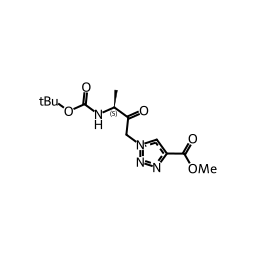 COC(=O)c1cn(CC(=O)[C@H](C)NC(=O)OC(C)(C)C)nn1